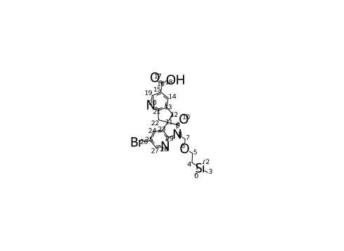 C[Si](C)(C)CCOCN1C(=O)[C@]2(Cc3cc(C(=O)O)cnc3C2)c2cc(Br)cnc21